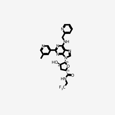 Cc1cncc(-c2nc(NCc3ccccn3)c3ncn([C@@H]4O[C@H](C(=O)NCC(F)(F)F)C[C@H]4O)c3n2)c1